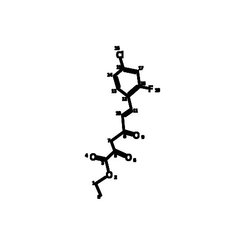 CCOC(=O)C(=O)CC(=O)C=Cc1ccc(Cl)cc1F